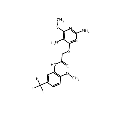 COc1ccc(C(F)(F)F)cc1NC(=O)CSc1nc(N)nc(SC)c1N